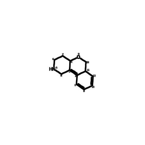 C1=CC2=C3CNCCC3OCC2C=C1